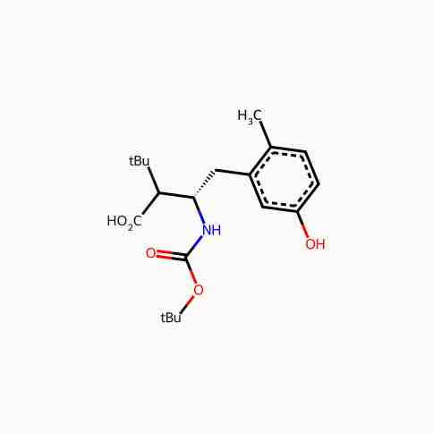 Cc1ccc(O)cc1C[C@H](NC(=O)OC(C)(C)C)C(C(=O)O)C(C)(C)C